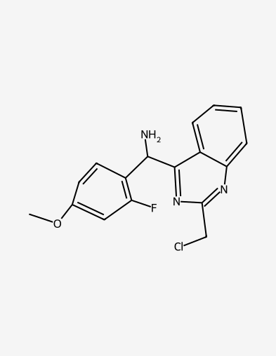 COc1ccc(C(N)c2nc(CCl)nc3ccccc23)c(F)c1